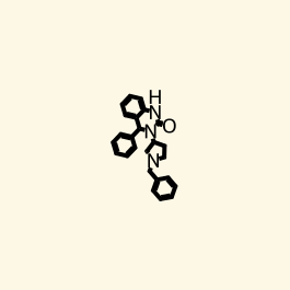 O=C1Nc2ccccc2C(c2ccccc2)N1C1CCN(Cc2ccccc2)C1